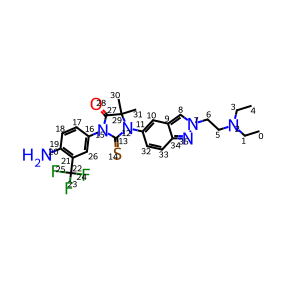 CCN(CC)CCn1cc2cc(N3C(=S)N(c4ccc(N)c(C(F)(F)F)c4)C(=O)C3(C)C)ccc2n1